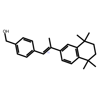 C/C(=C\c1ccc(CO)cc1)c1ccc2c(c1)C(C)(C)CCC2(C)C